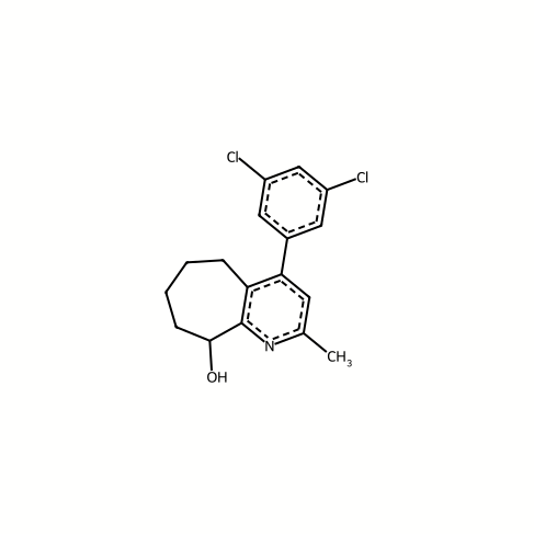 Cc1cc(-c2cc(Cl)cc(Cl)c2)c2c(n1)C(O)CCCC2